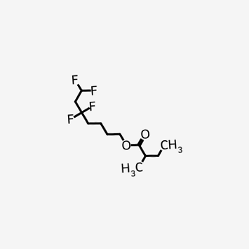 CCC(C)C(=O)OCCCCC(F)(F)CC(F)F